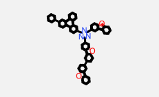 c1ccc(-c2ccc3c4ccc(-c5nc(-c6ccc7c(c6)oc6ccc(-c8ccc9oc%10ccccc%10c9c8)cc67)nc(-c6ccc7oc8ccccc8c7c6)n5)cc4c4ccccc4c3c2)cc1